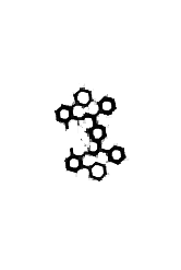 Cc1cccc(C2CCCCC2)c1-c1cc(-c2ccccc2)c2ccc3c(-c4ccccc4)cc(-c4c(C)cccc4C4CCCCC4)nc3c2n1